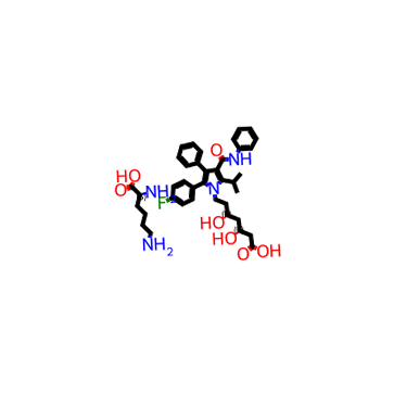 CC(C)c1c(C(=O)Nc2ccccc2)c(-c2ccccc2)c(-c2ccc(F)cc2)n1CC[C@@H](O)C[C@@H](O)CC(=O)O.NCCCC[C@H](N)C(=O)O